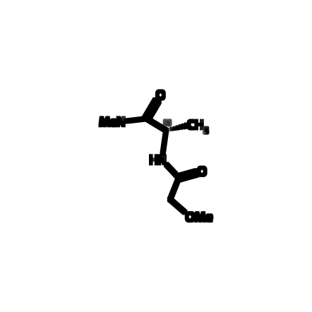 CNC(=O)[C@H](C)NC(=O)COC